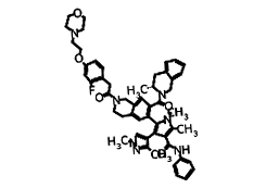 Cc1nn(C)cc1-c1c(C(=O)Nc2ccccc2)c(C)n(C)c1-c1cc2c(cc1C(=O)N1Cc3ccccc3C[C@H]1C)CN(C(=O)Cc1ccc(OCCN3CCOCC3)cc1F)CC2